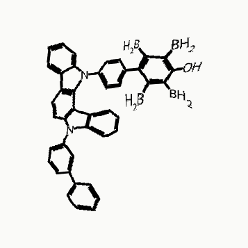 Bc1c(B)c(-c2ccc(-n3c4ccccc4c4ccc5c(c6ccccc6n5-c5cccc(-c6ccccc6)c5)c43)cc2)c(B)c(B)c1O